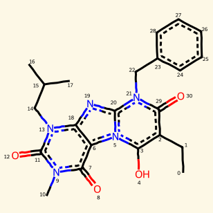 CCc1c(O)n2c3c(=O)n(C)c(=O)n(CC(C)C)c3nc2n(Cc2ccccc2)c1=O